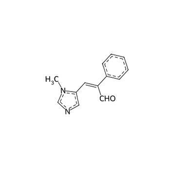 Cn1cncc1/C=C(\C=O)c1ccccc1